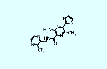 Cc1nc(C(=O)NCc2nccnc2C(F)(F)F)c(N)nc1-c1ncco1